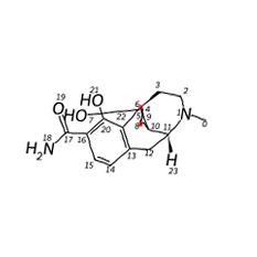 CN1CC[C@]23CC(O)C=CC2[C@H]1Cc1ccc(C(N)=O)c(O)c13